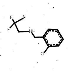 FC(F)(F)CNCc1ccccc1Cl